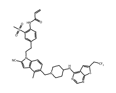 C=CC(=O)Nc1ccc(CCn2c(C#N)cc3c(C)c(CN4CCC(Nc5ncnc6sc(CC(F)(F)F)cc56)CC4)ccc32)cc1S(C)(=O)=O